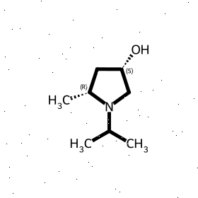 CC(C)N1C[C@@H](O)C[C@H]1C